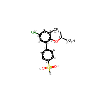 C[C@H](Oc1c(-c2ccc(S(C)(=O)=O)cc2)cc(Cl)cc1C(F)(F)F)C(=O)O